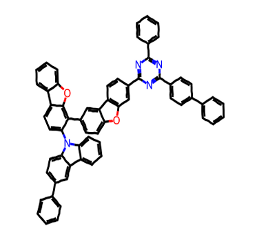 c1ccc(-c2ccc(-c3nc(-c4ccccc4)nc(-c4ccc5c(c4)oc4ccc(-c6c(-n7c8ccccc8c8cc(-c9ccccc9)ccc87)ccc7c6oc6ccccc67)cc45)n3)cc2)cc1